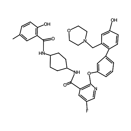 Cc1ccc(O)c(C(=O)NC2CCC(NC(=O)c3cc(F)cnc3Oc3cccc(-c4ccc(O)cc4CN4CCOCC4)c3)CC2)c1